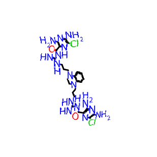 N=C(NCCCN1CCN(CCCNC(=N)NC(=O)c2nc(Cl)c(N)nc2N)c2ccccc21)NC(=O)c1nc(Cl)c(N)nc1N